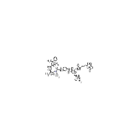 C/C(=C\C(C(C)C)N(C)C(=O)CNC(=O)CC(C)(C)c1ccccc1)C(=O)NSc1ccc(NC(=O)C(CCCNC(N)=O)NC(=O)CNC(=O)CCCCC(=O)ON2C(=O)CCC2=O)cc1